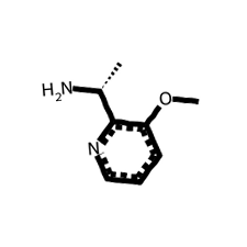 COc1cccnc1[C@@H](C)N